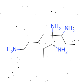 CCC(N)C(N)(CCCCN)C(N)CC